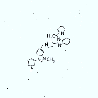 CC(c1ccccn1)n1c(C2CCN(Cc3ccc4c(-c5cccc(F)c5)nn(C)c4c3)CC2)nc2ccccc21